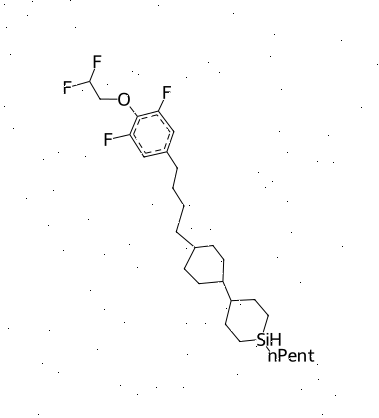 CCCCC[SiH]1CCC(C2CCC(CCCCc3cc(F)c(OCC(F)F)c(F)c3)CC2)CC1